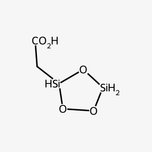 O=C(O)C[SiH]1OO[SiH2]O1